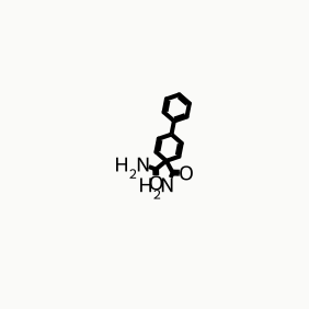 NC(=O)C1(C(N)=O)C=CC(c2ccccc2)C=C1